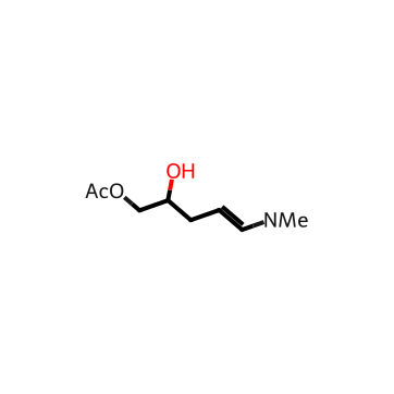 CN/C=C/CC(O)COC(C)=O